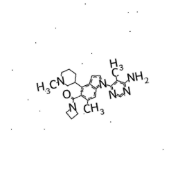 Cc1cc2c(ccn2-c2ncnc(N)c2C)c(C2CCCN(C)C2)c1C(=O)N1CCC1